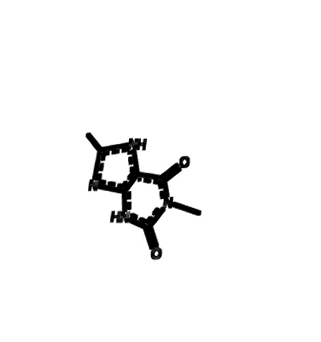 Cc1nc2[nH]c(=O)n(C)c(=O)c2[nH]1